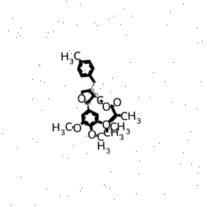 CC=C(C)C(=O)OC[C@H]1[C@@H](Cc2ccc(C)cc2)CO[C@@H]1c1cc(OC)c(OC)c(OC)c1